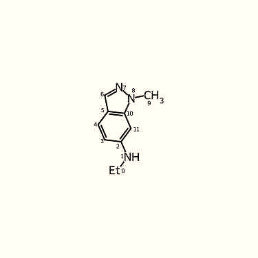 CCNc1ccc2cnn(C)c2c1